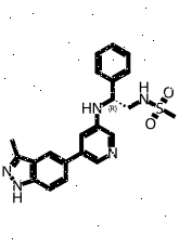 Cc1n[nH]c2ccc(-c3cncc(N[C@@H](CNS(C)(=O)=O)c4ccccc4)c3)cc12